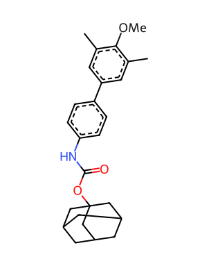 COc1c(C)cc(-c2ccc(NC(=O)OC34CC5CC(CC(C5)C3)C4)cc2)cc1C